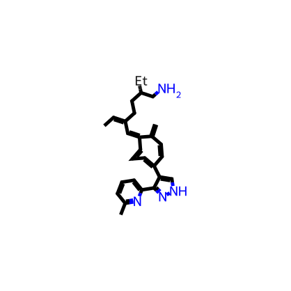 C=C1\C=C/C(c2c[nH]nc2-c2cccc(C)n2)=C/C=C/C1=C/C(=C\C)CCC(CC)CN